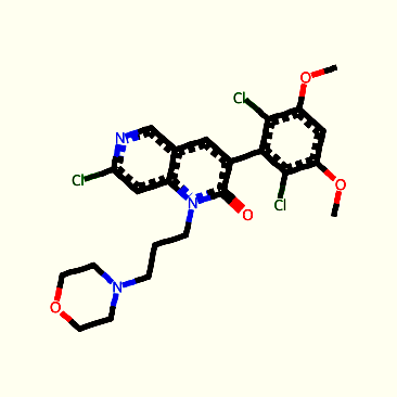 COc1cc(OC)c(Cl)c(-c2cc3cnc(Cl)cc3n(CCCN3CCOCC3)c2=O)c1Cl